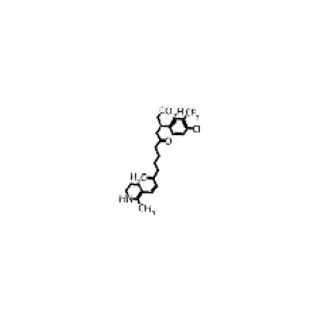 C=C(/C=C\C1=C(C)NCCC1)CCCCC(=O)CC(CC(=O)O)c1ccc(Cl)c(C(F)(F)F)c1